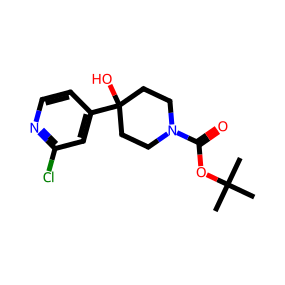 CC(C)(C)OC(=O)N1CCC(O)(c2ccnc(Cl)c2)CC1